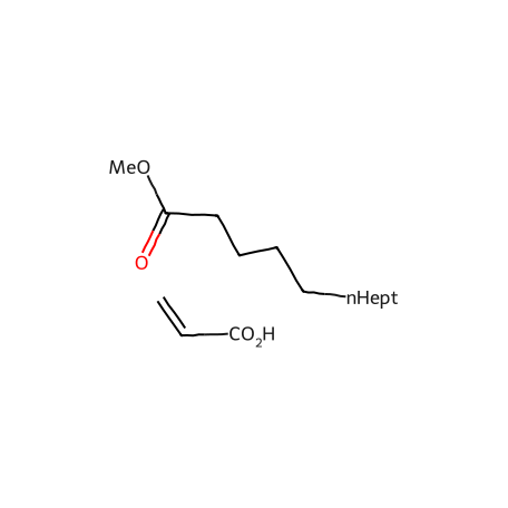 C=CC(=O)O.CCCCCCCCCCCC(=O)OC